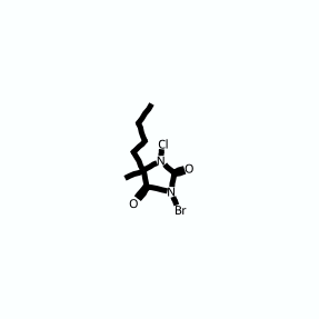 CCCCC1(C)C(=O)N(Br)C(=O)N1Cl